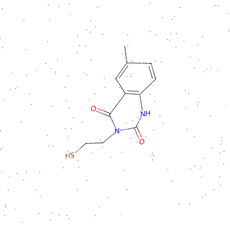 Cc1ccc2[nH]c(=O)n(CCS)c(=O)c2c1